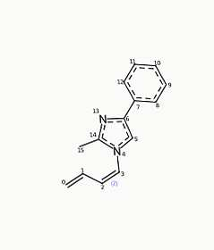 C=C/C=C\n1cc(-c2ccccc2)nc1C